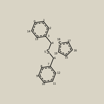 c1ccc(CSCc2ccccc2)cc1.c1ccsc1